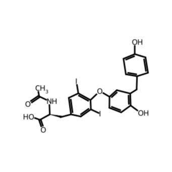 CC(=O)N[C@@H](Cc1cc(I)c(Oc2ccc(O)c(Cc3ccc(O)cc3)c2)c(I)c1)C(=O)O